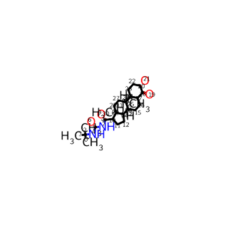 CC(C)(C)NC(=O)NC(=O)C1CC[C@H]2[C@@H]3CCC4C(=O)C(=O)CC[C@]4(C)[C@@H]3CC[C@]12C